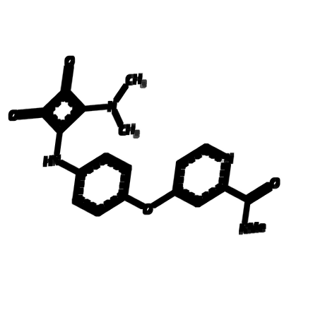 CNC(=O)c1cc(Oc2ccc(Nc3c(N(C)C)c(=O)c3=O)cc2)ccn1